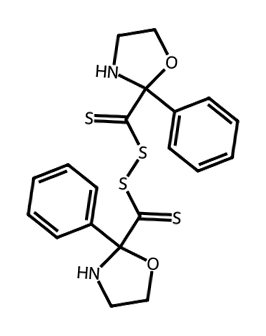 S=C(SSC(=S)C1(c2ccccc2)NCCO1)C1(c2ccccc2)NCCO1